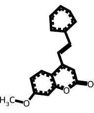 COc1ccc2c(C=Cc3ccccc3)cc(=O)oc2c1